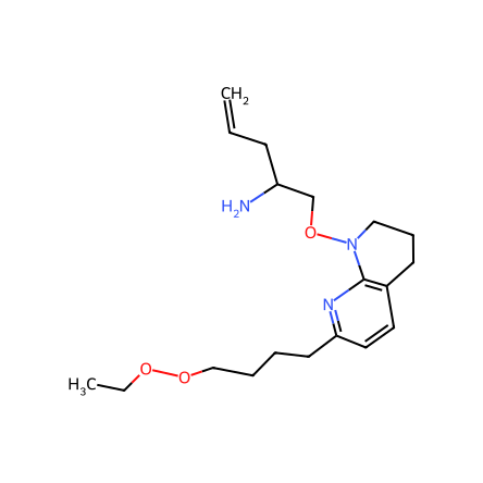 C=CCC(N)CON1CCCc2ccc(CCCCOOCC)nc21